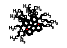 C=COc1c(OCCC)c(OCCC)c(C2(c3c(OCCC)c(OCCC)c(OC=C)c(C(CC)OCCC)c3OCCC)c3ccccc3-c3ccccc32)c(OCCC)c1C(CC)OCCC